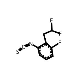 Fc1cccc(N=C=S)c1CC(F)F